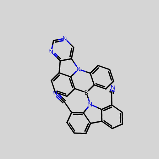 N#Cc1cccc2c3cccc(C#N)c3n(B3c4ccccc4-n4c5cncnc5c5cccc3c54)c12